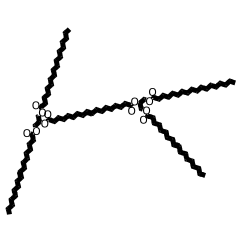 CCCCCCCCC=CCCCCCCCC(=O)OCC(COC(=O)CCCCCCCCCCCCCCCCC)OC(=O)CCCCCCCC=CCCCCCCCC(=O)OC(COC(=O)CCCCCCCC=CCCCCCCCC)COC(=O)CCCCCCCCCCCCCCCCC